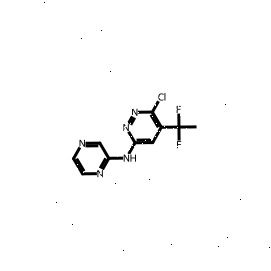 CC(F)(F)c1cc(Nc2cnccn2)nnc1Cl